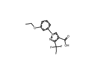 CCOc1cccc(-n2cc(C(=O)O)c(C(F)(F)F)n2)c1